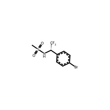 CS(=O)(=O)N[C@@H](c1ccc(Br)cc1)C(F)(F)F